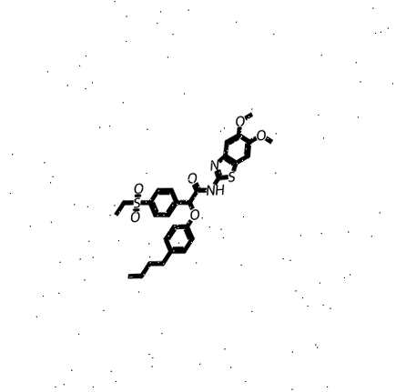 CCCCc1ccc(OC(C(=O)Nc2nc3cc(OC)c(OC)cc3s2)c2ccc(S(=O)(=O)CC)cc2)cc1